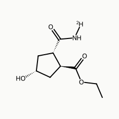 [2H]NC(=O)[C@H]1C[C@@H](O)C[C@@H]1C(=O)OCC